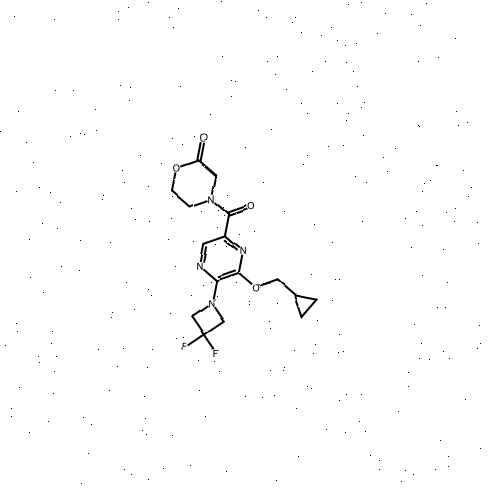 O=C1CN(C(=O)c2cnc(N3CC(F)(F)C3)c(OCC3CC3)n2)CCO1